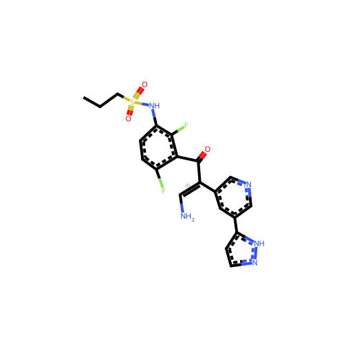 CCCS(=O)(=O)Nc1ccc(F)c(C(=O)/C(=C/N)c2cncc(-c3ccn[nH]3)c2)c1F